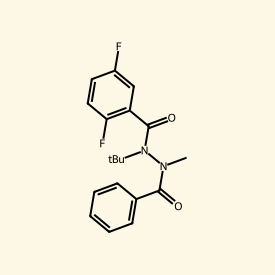 CN(C(=O)c1ccccc1)N(C(=O)c1cc(F)ccc1F)C(C)(C)C